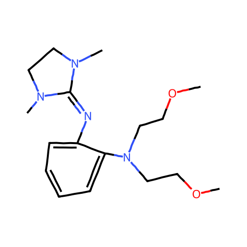 COCCN(CCOC)c1ccccc1N=C1N(C)CCN1C